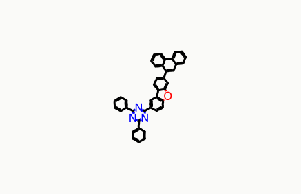 c1ccc(-c2nc(-c3ccccc3)nc(-c3ccc4oc5cc(-c6cc7ccccc7c7ccccc67)ccc5c4c3)n2)cc1